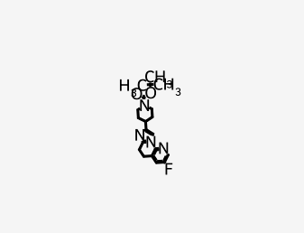 CC(C)(C)OC(=O)N1CCC(c2cn3c(n2)CCc2cc(F)cnc2-3)CC1